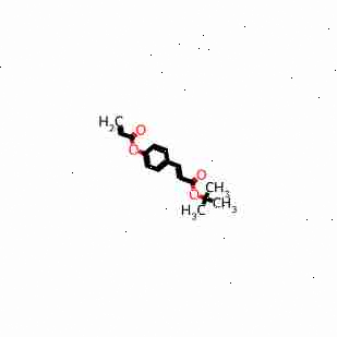 C=CC(=O)Oc1ccc(C=CC(=O)OC(C)(C)C)cc1